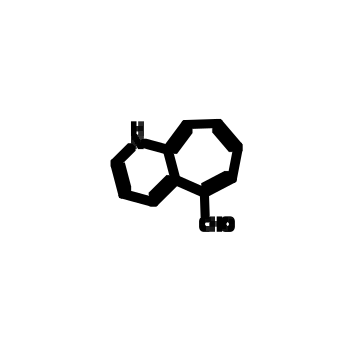 O=CC1=CC=CC=C2NC=CC=C12